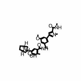 CNC(=O)c1cc(-c2cc(OC)cc([C@@H](C)NC(=O)c3cc(N4C[C@H]5CC[C@@H](C4)N5CCO)ccc3C)c2)cn1C